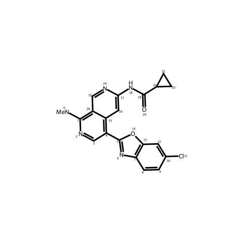 CNc1ncc(-c2nc3ccc(Cl)cc3o2)c2cc(NC(=O)C3CC3)ncc12